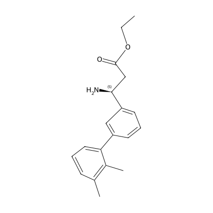 CCOC(=O)C[C@H](N)c1cccc(-c2cccc(C)c2C)c1